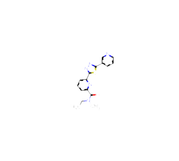 CCN(C)C(=O)c1cccc(-c2nnc(-c3cccnc3)s2)n1